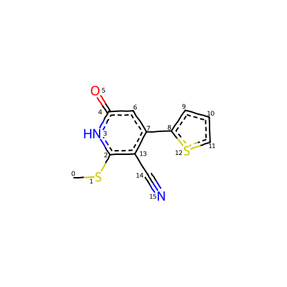 CSc1[nH]c(=O)cc(-c2cccs2)c1C#N